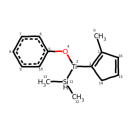 CC1=[C]([Ti]([O]c2ccccc2)[SiH](C)C)CC=C1